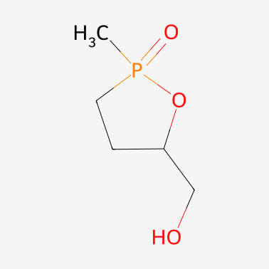 CP1(=O)CCC(CO)O1